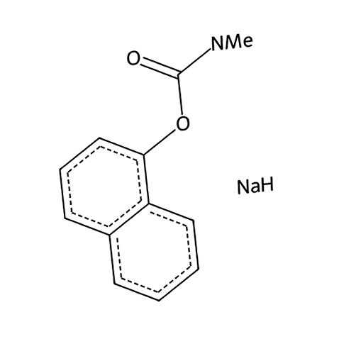 CNC(=O)Oc1cccc2ccccc12.[NaH]